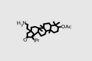 CC(=O)OC1CCC2(C)C(CCC3(C)C2CCC2C4=C(C(C)C)C(=O)CC4(CCN)CCC23C)C1(C)C